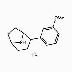 COc1cccc(C2CCC3CCC2N3)c1.Cl